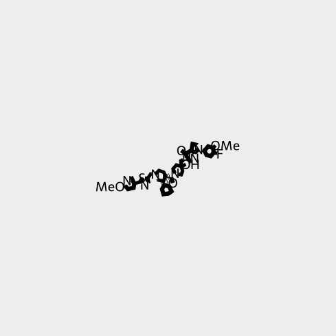 COc1ccc(-c2ncc(CN3CC[C@@H](C(=O)N4CCC(O)(Cn5cnc6c(ccn6-c6ccc(F)c(OC)c6)c5=O)CC4)[C@H](c4ccccc4)C3)s2)cn1